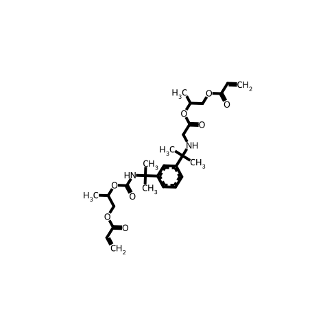 C=CC(=O)OCC(C)OC(=O)CNC(C)(C)c1cccc(C(C)(C)NC(=O)OC(C)COC(=O)C=C)c1